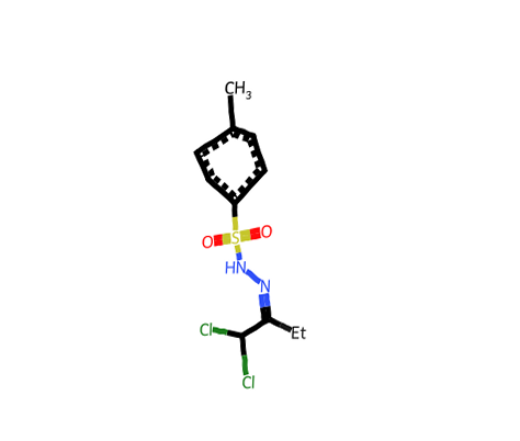 CCC(=NNS(=O)(=O)c1ccc(C)cc1)C(Cl)Cl